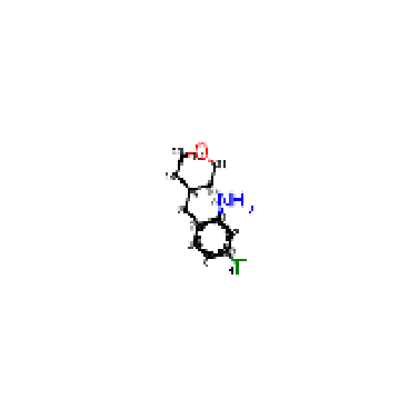 Nc1cc(F)ccc1CC1CCOCC1